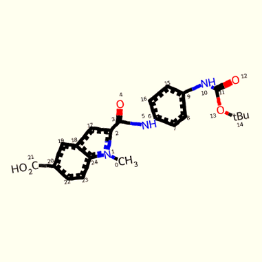 Cn1c(C(=O)Nc2ccc(NC(=O)OC(C)(C)C)cc2)cc2cc(C(=O)O)ccc21